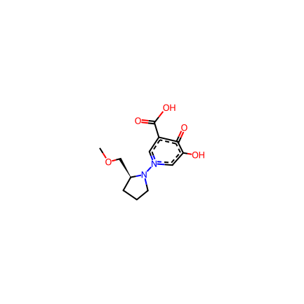 COC[C@@H]1CCCN1n1cc(O)c(=O)c(C(=O)O)c1